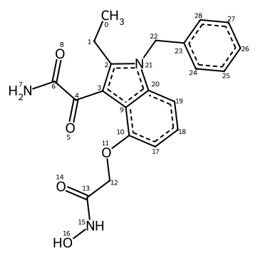 CCc1c(C(=O)C(N)=O)c2c(OCC(=O)NO)cccc2n1Cc1ccccc1